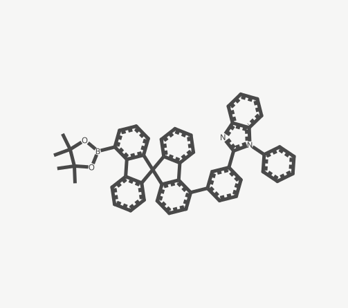 CC1(C)OB(c2cccc3c2-c2ccccc2C32c3ccccc3-c3c(-c4cccc(-c5nc6ccccc6n5-c5ccccc5)c4)cccc32)OC1(C)C